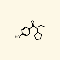 CCN(C(=O)c1ccc(O)cc1)C1CCCC1